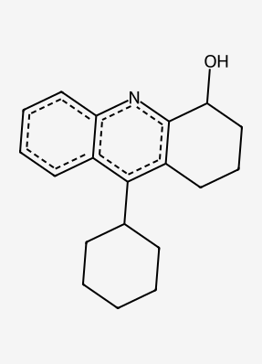 OC1CCCc2c1nc1ccccc1c2C1CCCCC1